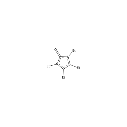 CCc1c(CC)n(CC)c(=O)n1CC